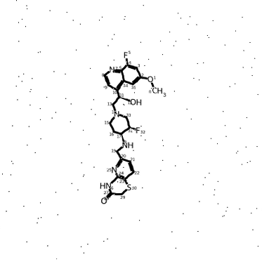 COc1cc(F)c2nccc([C@@H](O)CN3CC[C@H](NCc4ccc5c(n4)NC(=O)CS5)[C@H](F)C3)c2c1